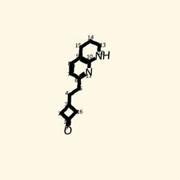 O=C1CC(CCc2ccc3c(n2)NCCC3)C1